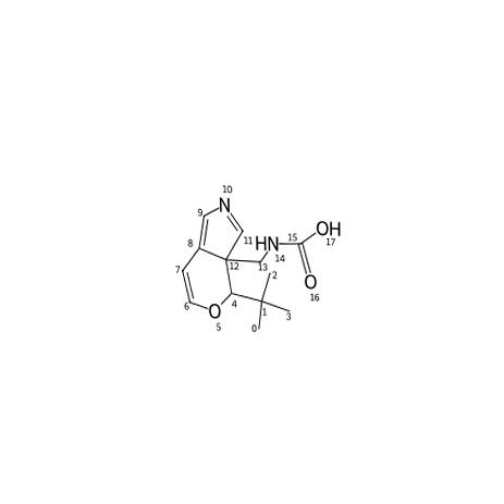 CC(C)(C)C1OC=CC2=CN=CC21CNC(=O)O